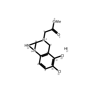 COC(=O)CN1Cc2c(ccc(Cl)c2Cl)N2NC12.I